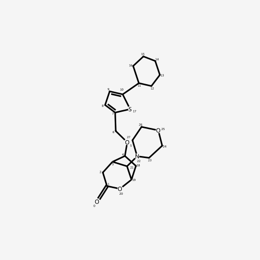 O=C1CC2C(OCc3ccc(C4CCCCC4)s3)CC(O1)C2N1CCOCC1